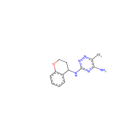 Nc1nc(NC2CCOc3ccccc32)nnc1C(F)(F)F